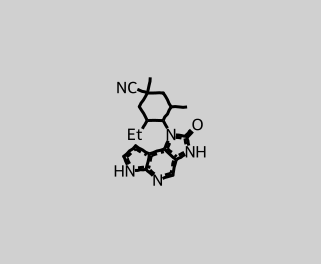 CCC1CC(C)(C#N)CC(C)C1n1c(=O)[nH]c2cnc3[nH]ccc3c21